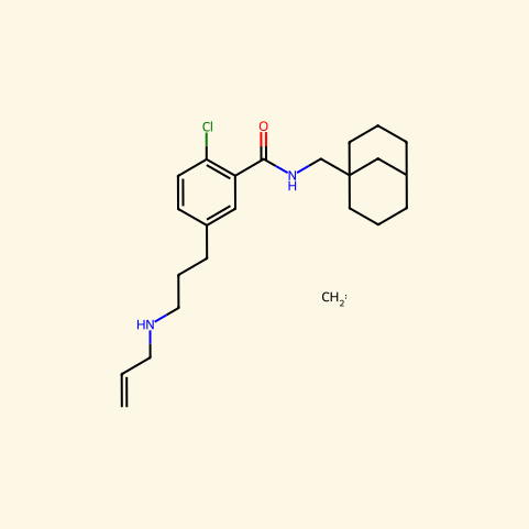 C=CCNCCCc1ccc(Cl)c(C(=O)NCC23CCCC(CCC2)C3)c1.[CH2]